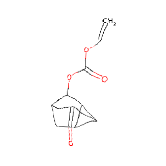 C=COC(=O)OC1C2CC3C(C2=O)C31